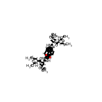 COC(=O)N[C@@H](CCSC)C(=O)N1CC(S(C)(=O)=O)C[C@H]1c1nc2cc(-c3cc4ccc3CCc3ccc(c(-c5ccc6[nH]c([C@@H]7CN(S(C)(=O)=O)CN7C(=O)[C@H](CCSC)NC(=O)OC)nc6c5)c3)CC4)ccc2[nH]1